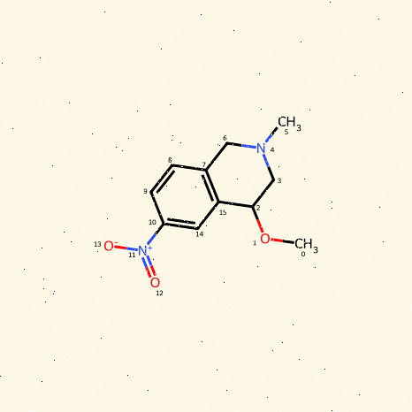 COC1CN(C)Cc2ccc([N+](=O)[O-])cc21